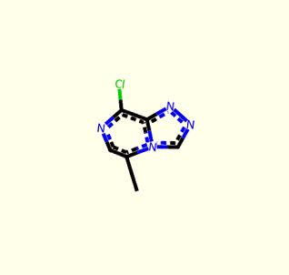 Cc1cnc(Cl)c2nncn12